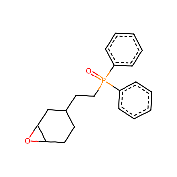 O=P(CCC1CCC2OC2C1)(c1ccccc1)c1ccccc1